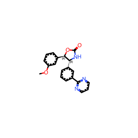 COc1cccc([C@H]2OC(=O)N[C@@H]2c2cccc(-c3ncccn3)c2)c1